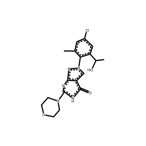 Cc1cc(Cl)cc(C(C)O)c1-n1cc2c(=O)[nH]c(N3CCOCC3)nc2n1